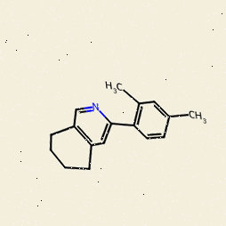 Cc1ccc(-c2cc3c(cn2)CCCC3)c(C)c1